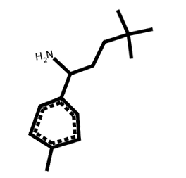 Cc1ccc(C(N)CCC(C)(C)C)cc1